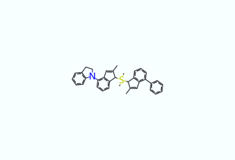 CC1=Cc2c(-c3ccccc3)cccc2C1S(C)(C)C1C(C)=Cc2c1cccc2N1CCc2ccccc21